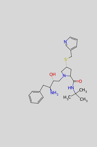 CC(C)(C)NC(=O)C1C[C@@H](SCc2cccnc2)CN1C[C@@H](O)[C@@H](N)Cc1ccccc1